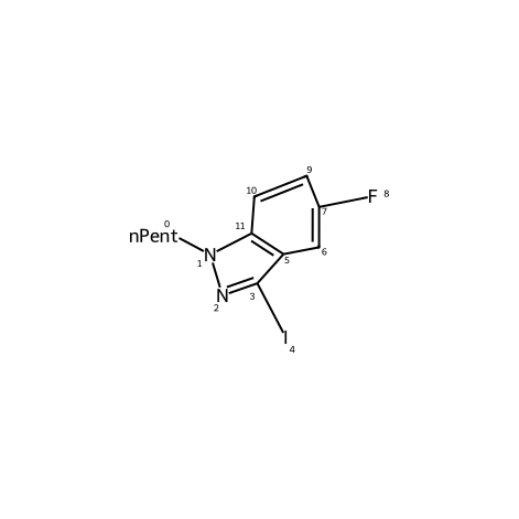 CCCCCn1nc(I)c2cc(F)ccc21